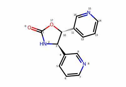 O=C1N[C@H](c2cccnc2)[C@@H](c2cccnc2)O1